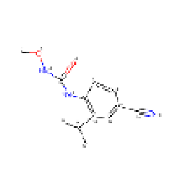 CONC(=O)Nc1ccc(C#N)cc1C(C)C